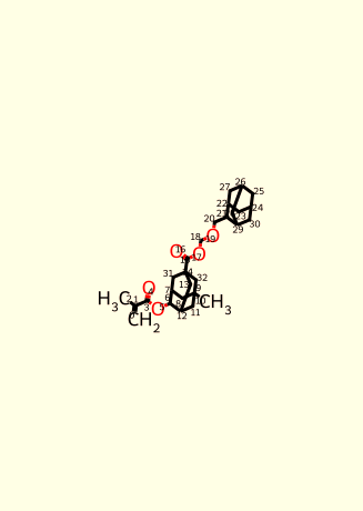 C=C(C)C(=O)OC1C2CC3(C)CC1CC(C(=O)OCOCC1C4CC5CC(C4)CC1C5)(C2)C3